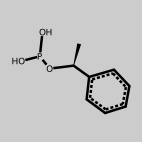 C[C@H](OP(O)O)c1ccccc1